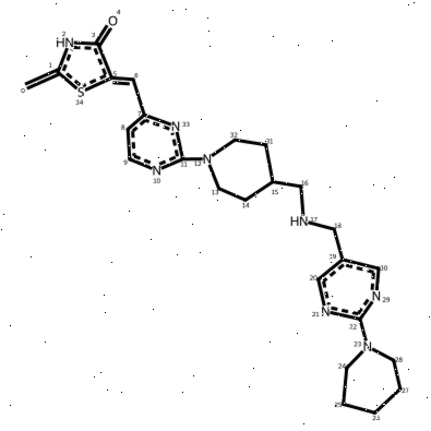 C=c1[nH]c(=O)/c(=C/c2ccnc(N3CCC(CNCc4cnc(N5CCCCC5)nc4)CC3)n2)s1